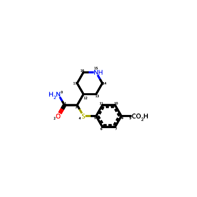 NC(=O)C(Sc1ccc(C(=O)O)cc1)C1CCNCC1